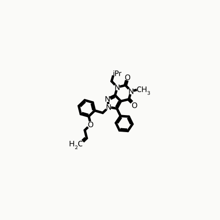 C=CCOc1ccccc1Cn1nc2c(c1-c1ccccc1)c(=O)n(C)c(=O)n2CC(C)C